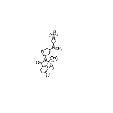 CCS(=O)(=O)N1CC(N(C)c2cncc(N3C(=O)c4ccc(Cl)cc4C3(C)C)c2)C1